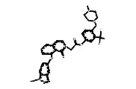 CN1CCN(Cc2ccc(NC(=O)Cn3ccc4cccc(Nc5ccc6c(cnn6C)c5)c4c3=O)cc2C(F)(F)F)CC1